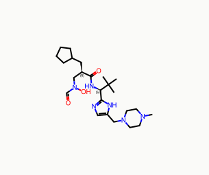 CN1CCN(Cc2cnc([C@@H](NC(=O)[C@H](CC3CCCC3)CN(O)C=O)C(C)(C)C)[nH]2)CC1